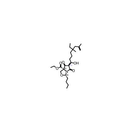 C=C(C)CC(C)(CC)CCC/C(O)=C1/C(=O)N2[C@@H](CCCC)OC[C@]2(C(=O)OCC)C1=O